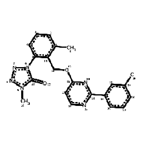 Cc1cccc(-n2nnn(C)c2=O)c1COc1ccnc(-c2cccc(Cl)c2)n1